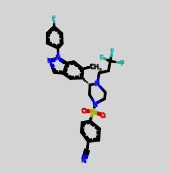 Cc1cc2c(cnn2-c2ccc(F)cc2)cc1[C@H]1CN(S(=O)(=O)c2ccc(C#N)cc2)CCN1CCC(F)(F)F